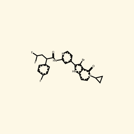 O=C(Nc1cc(-c2[nH]c3ccn(C4CC4)c(=O)c3c2Br)ccn1)C(CC(F)F)c1ccc(F)cc1